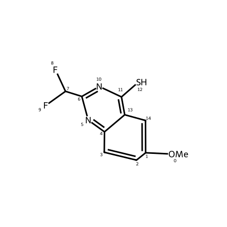 COc1ccc2nc(C(F)F)nc(S)c2c1